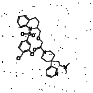 CN(C)CCC1(c2cccnc2)CCN(C(=O)COCC2CCc3ccccc3N2S(=O)(=O)c2ccc(Cl)c(Cl)c2)CC1